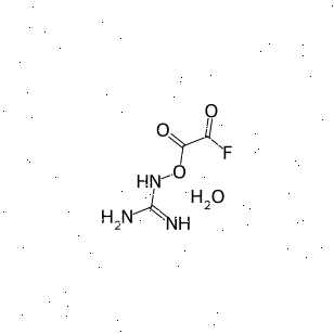 N=C(N)NOC(=O)C(=O)F.O